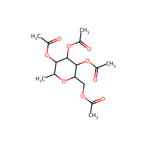 CC(=O)OCC1OC(C)C(OC(C)=O)C(OC(C)=O)C1OC(C)=O